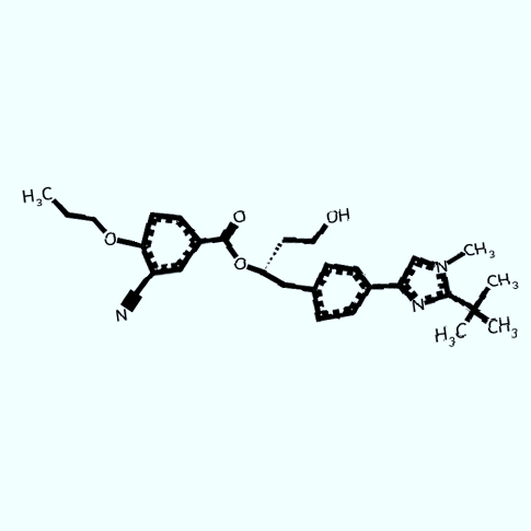 CCCOc1ccc(C(=O)O[C@H](CCO)Cc2ccc(-c3cn(C)c(C(C)(C)C)n3)cc2)cc1C#N